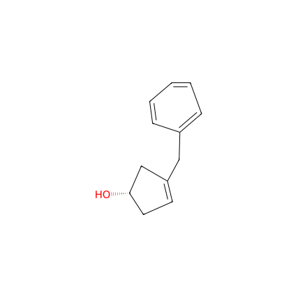 O[C@H]1CC=C(Cc2ccccc2)C1